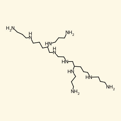 NCCCNCCCC(CNCCNCC(CCCNCCCN)NCCCN)NCCCN